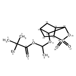 CCC(C)(C)C(=O)OC(C)OC1C2CC3C1OS(=O)(=O)C3C2